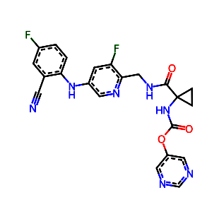 N#Cc1cc(F)ccc1Nc1cnc(CNC(=O)C2(NC(=O)Oc3cncnc3)CC2)c(F)c1